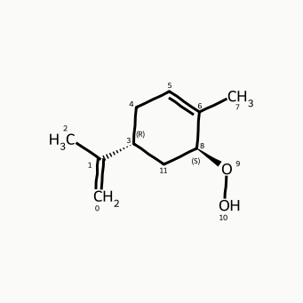 C=C(C)[C@@H]1CC=C(C)[C@@H](OO)C1